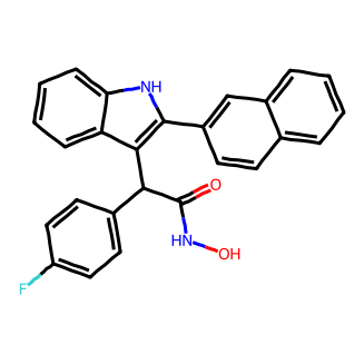 O=C(NO)C(c1ccc(F)cc1)c1c(-c2ccc3ccccc3c2)[nH]c2ccccc12